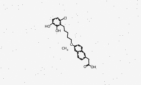 C.O=C(O)Cc1ccc2cc(OCCCCCc3c(Cl)ccc(O)c3O)ccc2c1